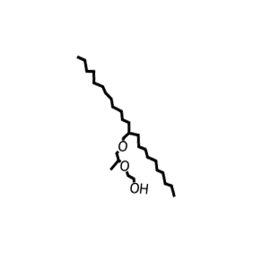 CCCCCCCCCCCCC(CCCCCCCCCC)COCC(C)OCCO